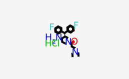 CCN(CC)CCC(=O)N1CC[C@@H](N)[C@@H](C(c2ccc(F)cc2)c2ccc(F)cc2)C1.Cl